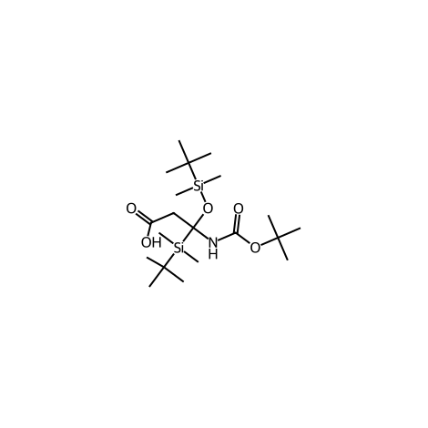 CC(C)(C)OC(=O)NC(CC(=O)O)(O[Si](C)(C)C(C)(C)C)[Si](C)(C)C(C)(C)C